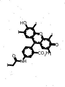 O=C(CI)Nc1ccc(-c2c3cc(I)c(=O)c(I)c-3oc3c(I)c(O)c(I)cc23)c(C(=O)O)c1